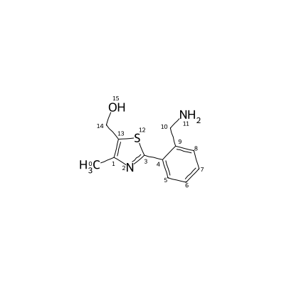 Cc1nc(-c2ccccc2CN)sc1CO